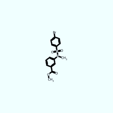 COC(=O)c1cccc(N(C)S(=O)(=O)c2ccc(Br)cc2)c1